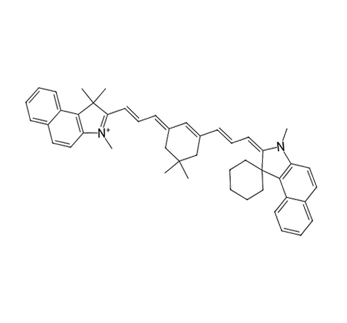 CN1/C(=C/C=C/C2=CC(=C/C=C/C3=[N+](C)c4ccc5ccccc5c4C3(C)C)/CC(C)(C)C2)C2(CCCCC2)c2c1ccc1ccccc21